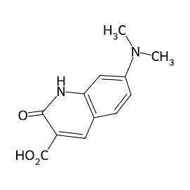 CN(C)c1ccc2cc(C(=O)O)c(=O)[nH]c2c1